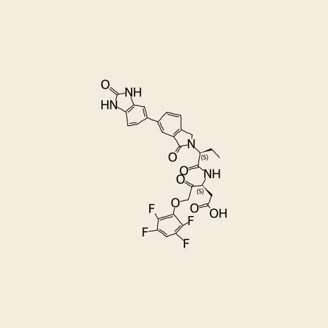 CC[C@@H](C(=O)N[C@@H](CC(=O)O)C(=O)COc1c(F)c(F)cc(F)c1F)N1Cc2ccc(-c3ccc4[nH]c(=O)[nH]c4c3)cc2C1=O